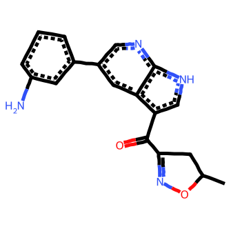 CC1CC(C(=O)c2c[nH]c3ncc(-c4cccc(N)c4)cc23)=NO1